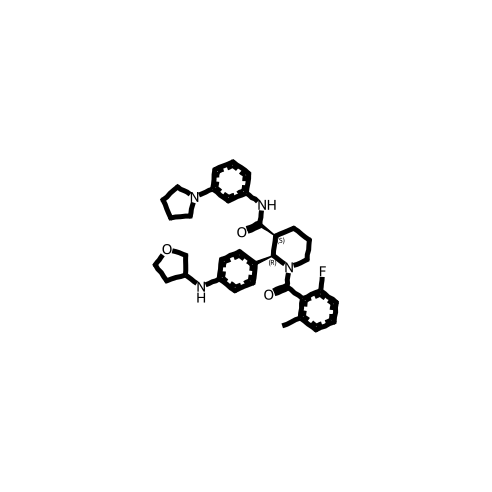 Cc1cccc(F)c1C(=O)N1CCC[C@H](C(=O)Nc2cccc(N3CCCC3)c2)[C@@H]1c1ccc(NC2CCOC2)cc1